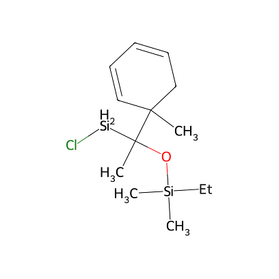 CC[Si](C)(C)OC(C)([SiH2]Cl)C1(C)C=CC=CC1